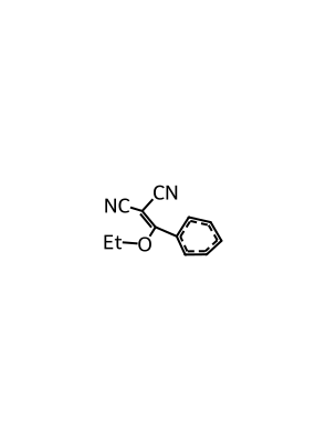 CCOC(=C(C#N)C#N)c1ccccc1